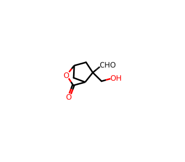 O=CC1(CO)CC2CC1C(=O)O2